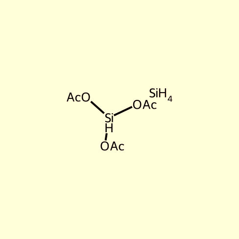 CC(=O)O[SiH](OC(C)=O)OC(C)=O.[SiH4]